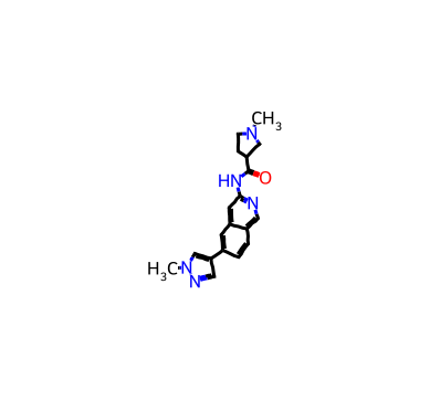 CN1CCC(C(=O)Nc2cc3cc(-c4cnn(C)c4)ccc3cn2)C1